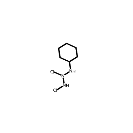 ClNN(Cl)NC1CCCCC1